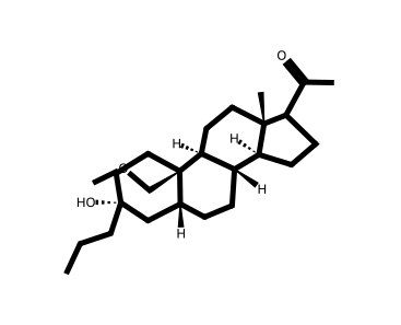 CCC[C@@]1(O)CC[C@@]2(COC)[C@H](CC[C@@H]3[C@@H]2CC[C@]2(C)C(C(C)=O)CC[C@@H]32)C1